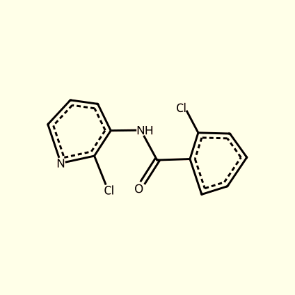 O=C(Nc1cccnc1Cl)c1ccccc1Cl